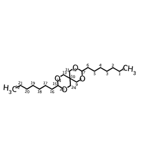 CCCCCCCC1OCC2(CO1)COC(CCCCCCC)OC2